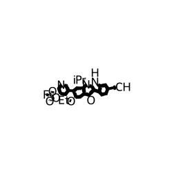 C#Cc1ccc2c(c1)[nH]c1c2c(=O)c2cc(OCC)c(-c3cncc(OS(=O)(=O)F)c3)cc2n1C(C)C